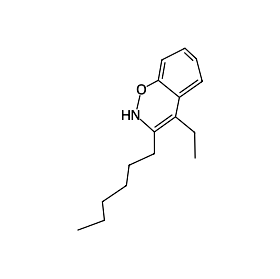 CCCCCCC1=C(CC)c2ccccc2ON1